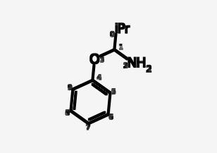 CC(C)C(N)Oc1ccccc1